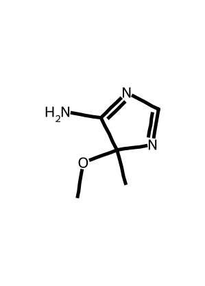 COC1(C)N=CN=C1N